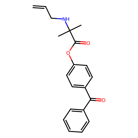 C=CCNC(C)(C)C(=O)Oc1ccc(C(=O)c2ccccc2)cc1